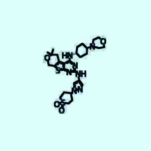 CC1(C)Cc2c(sc3nc(Nc4cnn(C5CCS(=O)(=O)CC5)c4)nc(N[C@H]4CC[C@H](N5CCOCC5)CC4)c23)CO1